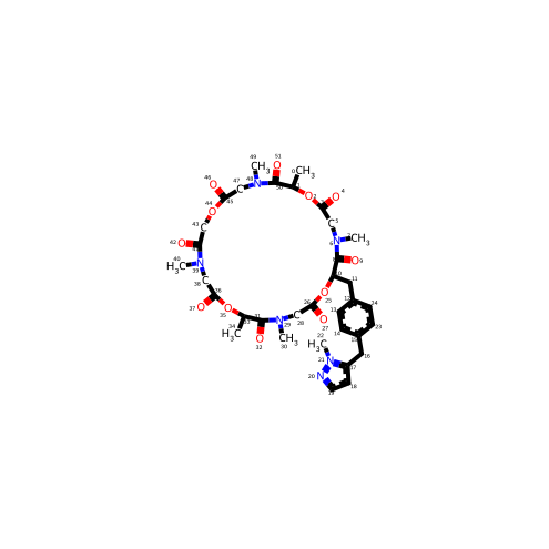 CC1OC(=O)CN(C)C(=O)C(Cc2ccc(Cc3ccnn3C)cc2)OC(=O)CN(C)C(=O)C(C)OC(=O)CN(C)C(=O)COC(=O)CN(C)C1=O